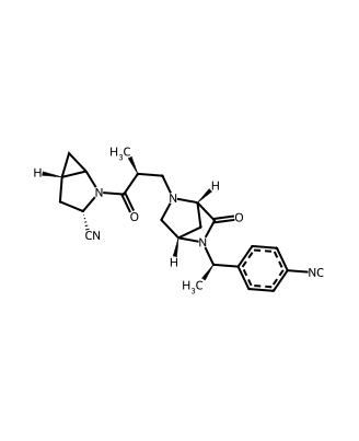 [C-]#[N+]c1ccc([C@@H](C)N2C(=O)[C@@H]3C[C@H]2CN3C[C@H](C)C(=O)N2C3C[C@H]3C[C@H]2C#N)cc1